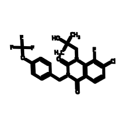 CC(C)(O)Cn1c(=O)n(Cc2ccc(OC(F)(F)F)cc2)c(=O)c2ccc(Cl)c(F)c21